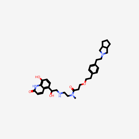 CN(CCNCC(O)c1ccc(O)c2[nH]c(=O)ccc12)C(=O)CCOCCc1ccc(CCN2CC3CCCC3C2)cc1